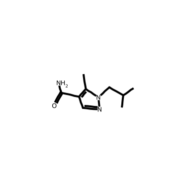 Cc1c(C(N)=O)cnn1CC(C)C